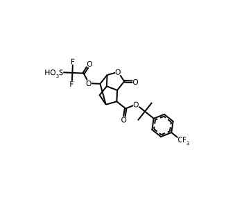 CC(C)(OC(=O)C1C2CC3C(OC(=O)C31)C2OC(=O)C(F)(F)S(=O)(=O)O)c1ccc(C(F)(F)F)cc1